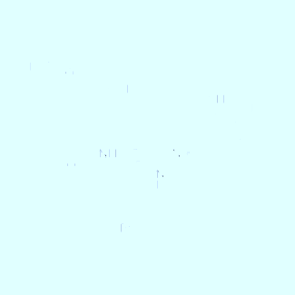 COc1ccc(C(=O)Nc2ccc(Br)cc2C(=O)N/N=C/c2ccc(C)c(C)c2)cc1OC